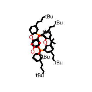 CC(C)(C)CCCc1ccc2c(c1)P(c1cc(CCC(C)(C)C)cc3c1Oc1c(P4c5cc(CCCC(C)(C)C)ccc5Oc5ccc(CCC(C)(C)C)cc54)cc(CCC(C)(C)C)cc1C3(C)C)c1cc(CCC(C)(C)C)ccc1O2